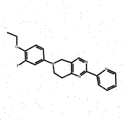 CCOc1ccc(N2CCc3nc(-c4ccccn4)ncc3C2)cc1F